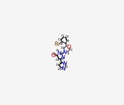 Cn1c(N2CCO[C@H](C3C=CC=CC3Br)C2)nc(-c2ccncn2)cc1=O